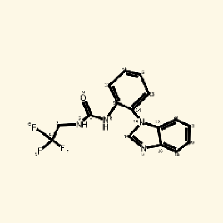 O=C(NCC(F)(F)F)Nc1ccccc1-n1cnc2c[c]ccc21